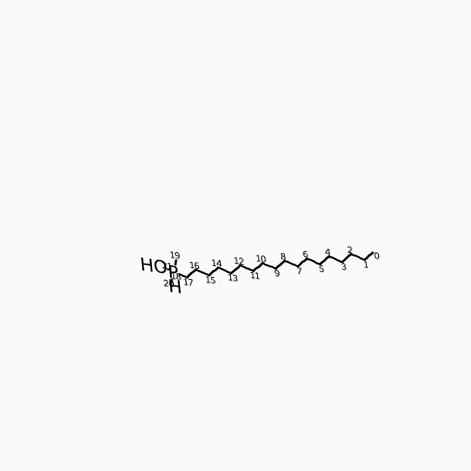 CCCCCCCCCCCCCCCCCC[PH](C)(C)O